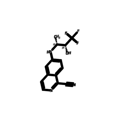 C[C@@H](Nc1ccc2c(C#N)nccc2c1)[C@@H](O)C(F)(F)F